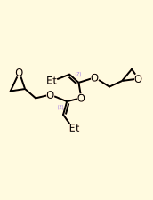 CC/C=C(/OCC1CO1)O/C(=C\CC)OCC1CO1